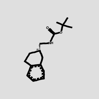 CC(C)(C)OC(=O)NC[C@H]1CCc2ccccc2C1